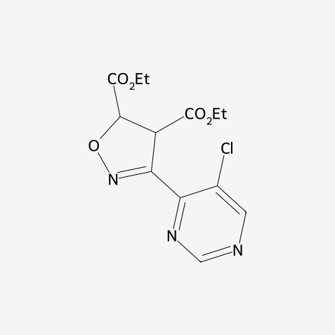 CCOC(=O)C1ON=C(c2ncncc2Cl)C1C(=O)OCC